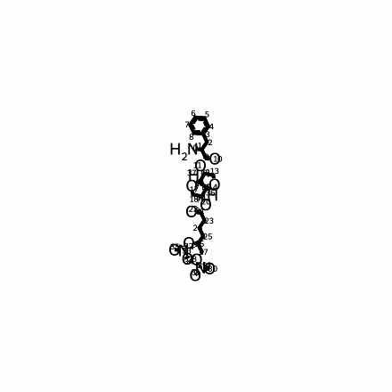 NC(Cc1ccccc1)C(=O)O[C@@H]1CO[C@H]2[C@@H]1OC[C@H]2OC(=O)CCCC(CO[N+](=O)[O-])O[N+](=O)[O-]